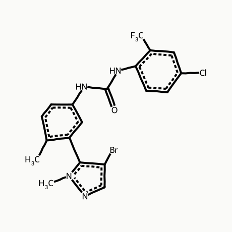 Cc1ccc(NC(=O)Nc2ccc(Cl)cc2C(F)(F)F)cc1-c1c(Br)cnn1C